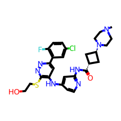 CN1CCN([C@H]2C[C@@H](C(=O)Nc3cc(Nc4cc(-c5cc(Cl)ccc5F)nnc4SCCO)ccn3)C2)CC1